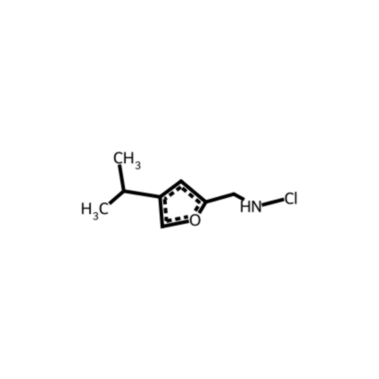 CC(C)c1coc(CNCl)c1